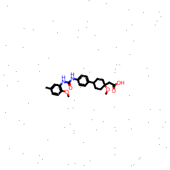 COc1ccc(C)cc1NC(=O)Nc1ccc(C2CCC(CC(=O)O)(OC)CC2)cc1